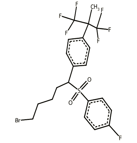 CC(c1ccc(C(CCCCBr)S(=O)(=O)c2ccc(F)cc2)cc1)(C(F)(F)F)C(F)(F)F